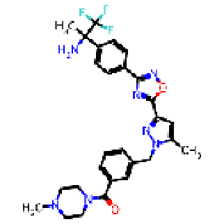 Cc1cc(-c2nc(-c3ccc(C(C)(N)C(F)(F)F)cc3)no2)nn1Cc1cccc(C(=O)N2CCN(C)CC2)c1